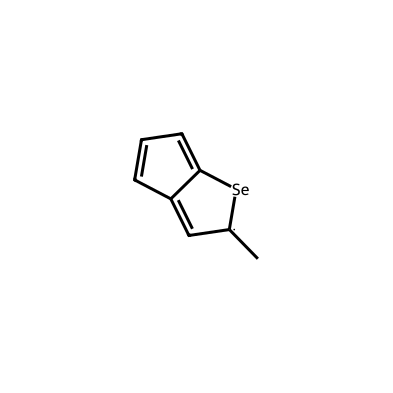 C[C]1C=C2C=CC=C2[Se]1